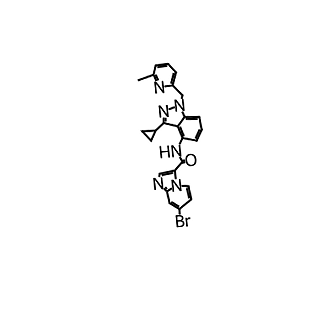 Cc1cccc(Cn2nc(C3CC3)c3c(NC(=O)c4cnc5cc(Br)ccn45)cccc32)n1